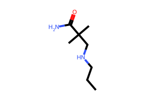 CCCNCC(C)(C)C(N)=O